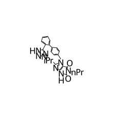 CCCn1c(=O)[nH]c2nc(C(C)C)n(Cc3ccc(-c4ccccc4-c4nnn[nH]4)cc3)c2c1=O